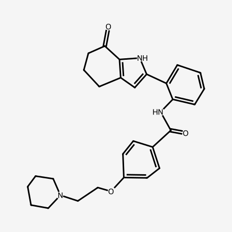 O=C(Nc1ccccc1-c1cc2c([nH]1)C(=O)CCC2)c1ccc(OCCN2CCCCC2)cc1